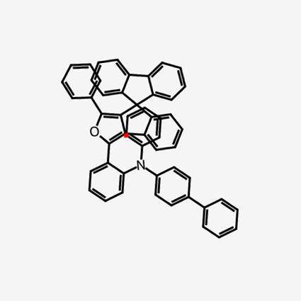 c1ccc(-c2ccc(N(c3ccccc3)c3ccccc3-c3oc(-c4ccccc4)c4c3-c3ccccc3C43c4ccccc4-c4ccccc43)cc2)cc1